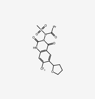 CC(C)C(=O)N(n1c(=O)[nH]c2cc(C(F)(F)F)c(C3CCCO3)cc2c1=O)S(C)(=O)=O